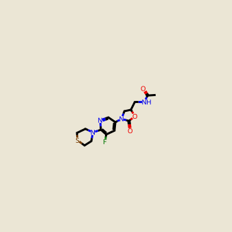 CC(=O)NCC1CN(c2cnc(N3CCSCC3)c(F)c2)C(=O)O1